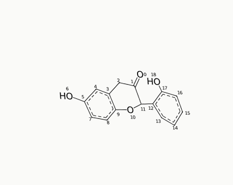 O=C1Cc2cc(O)ccc2OC1c1ccccc1O